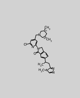 CC(Cc1nncn1C)c1ccc2c(c1)C(=O)N(c1cc(CN3C[C@H](C)C[C@H](C)C3)cc(Cl)n1)C2